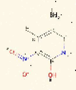 Bc1cnc(O)c([N+](=O)[O-])c1C